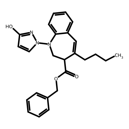 CCCCC1=Cc2ccccc2N(n2ccc(O)n2)CC1C(=O)OCc1ccccc1